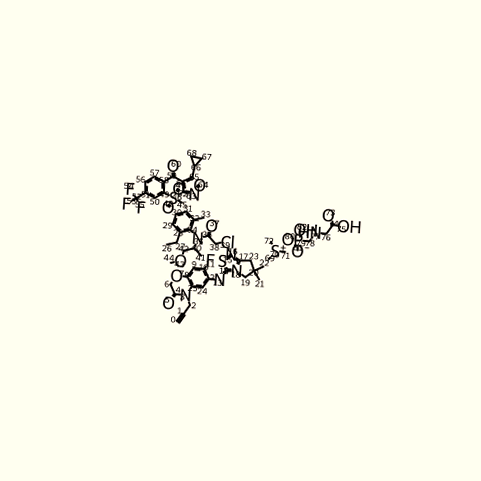 C#CCN1C(=O)COc2cc(F)c(/N=c3\snc4n3CC(C)(C)C4)cc21.CCc1cccc(C)c1N(C(=O)CCl)C(C)COC.CS(=O)(=O)c1cc(C(F)(F)F)ccc1C(=O)c1cnoc1C1CC1.C[S+](C)C.O=C(O)CNCP(=O)([O-])O